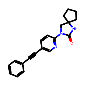 O=C1NC2(CCCC2)CN1c1ccc(C#Cc2ccccc2)cn1